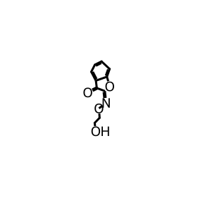 O=C1C(=NOCCO)Oc2ccccc21